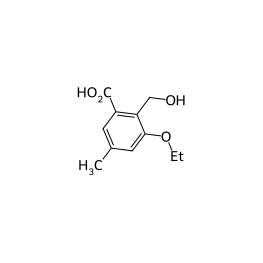 CCOc1cc(C)cc(C(=O)O)c1CO